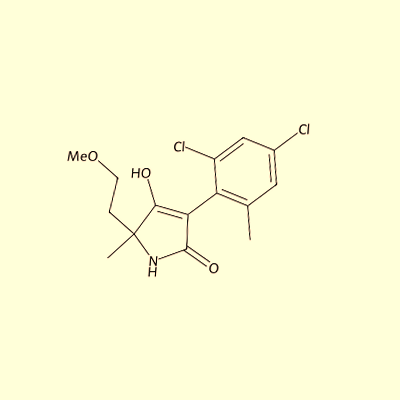 COCCC1(C)NC(=O)C(c2c(C)cc(Cl)cc2Cl)=C1O